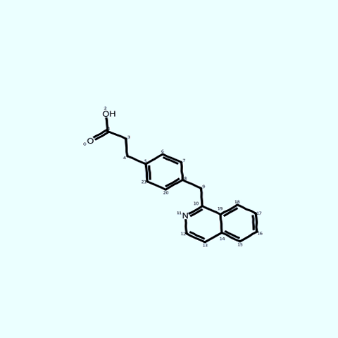 O=C(O)CCc1ccc(Cc2nccc3ccccc23)cc1